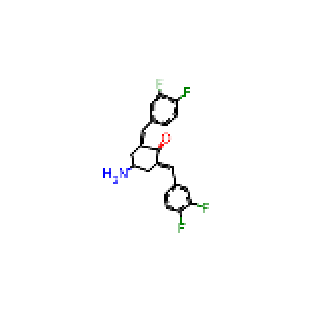 NC1C/C(=C/c2ccc(F)c(F)c2)C(=O)/C(=C/c2ccc(F)c(F)c2)C1